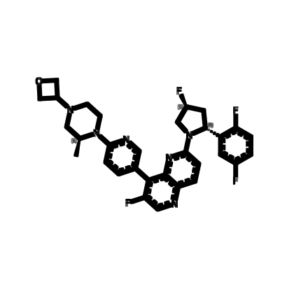 C[C@H]1CN(C2COC2)CCN1c1ccc(-c2c(F)cnc3ccc(N4C[C@@H](F)C[C@@H]4c4cc(F)ccc4F)nc23)cn1